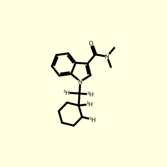 [3H]C1CCCCC1([3H])C([3H])([3H])n1cc(C(=O)N(C)C)c2ccccc21